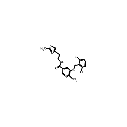 Cc1nc(CCNC(=O)c2cnc(N)c(OCc3c(Cl)cccc3Cl)c2)cs1